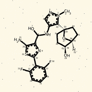 Cn1ncc(NC(O)c2nc(-c3c(F)cccc3F)sc2N)c1[C@]12CC[C@H](O1)[C@@H](O)CC2